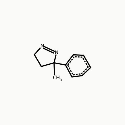 CC1(c2ccccc2)CCN=N1